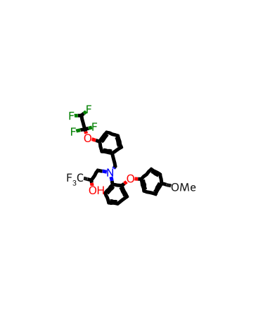 COc1ccc(Oc2ccccc2N(Cc2cccc(OC(F)(F)C(F)F)c2)CC(O)C(F)(F)F)cc1